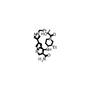 CC[C@H]1CN(C(=O)[C@H](C)O)CC[C@H]1Nc1c(C(N)=O)cnn2cc(-c3cnn(CC(C)C)c3)cc12